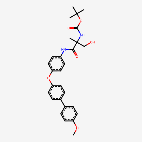 COc1ccc(-c2ccc(Oc3ccc(NC(=O)C(C)(CO)NC(=O)OC(C)(C)C)cc3)cc2)cc1